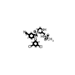 CS(=O)(=O)NCC1CN(S(=O)(=O)c2cc(C#N)ccc2Oc2cc(Cl)cc(Cl)c2)CCN1